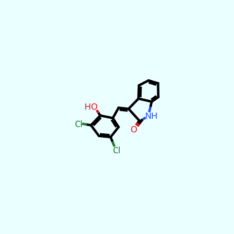 O=C1Nc2ccccc2/C1=C/c1cc(Cl)cc(Cl)c1O